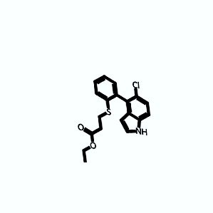 CCOC(=O)CCSc1ccccc1-c1c(Cl)ccc2[nH]ccc12